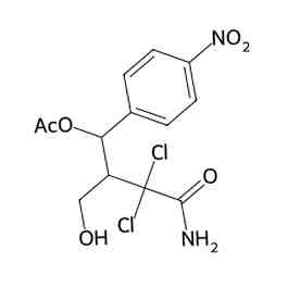 CC(=O)OC(c1ccc([N+](=O)[O-])cc1)C(CO)C(Cl)(Cl)C(N)=O